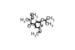 COc1cc(C(=O)N(C)OC)cc(OC(C)C)n1